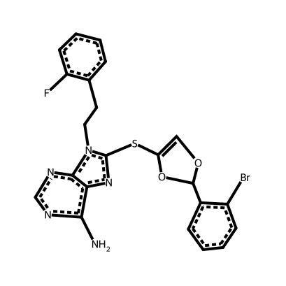 Nc1ncnc2c1nc(SC1=COC(c3ccccc3Br)O1)n2CCc1ccccc1F